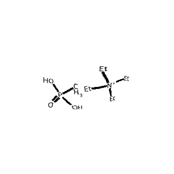 CC[N+](CC)(CC)CC.CP(=O)(O)O